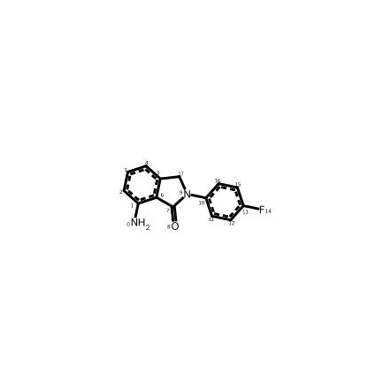 Nc1cccc2c1C(=O)N(c1ccc(F)cc1)C2